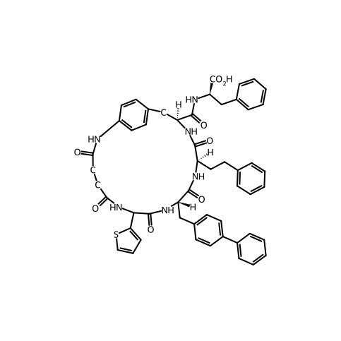 O=C1CCC(=O)NC(c2cccs2)C(=O)N[C@@H](Cc2ccc(-c3ccccc3)cc2)C(=O)N[C@H](CCc2ccccc2)C(=O)N[C@H](C(=O)N[C@H](Cc2ccccc2)C(=O)O)Cc2ccc(cc2)N1